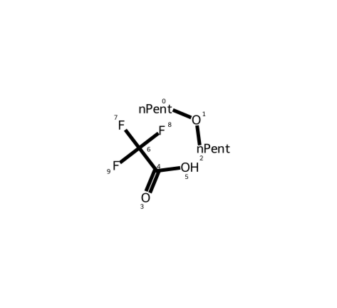 CCCCCOCCCCC.O=C(O)C(F)(F)F